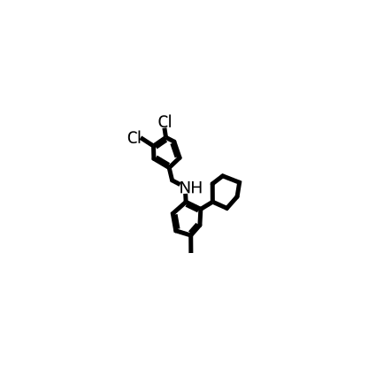 Cc1ccc(NCc2ccc(Cl)c(Cl)c2)c(C2CCCCC2)c1